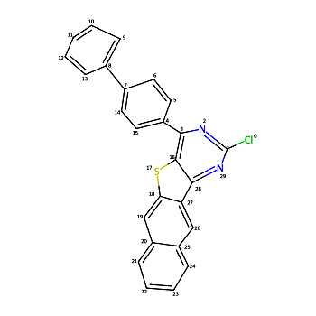 Clc1nc(-c2ccc(-c3ccccc3)cc2)c2sc3cc4ccccc4cc3c2n1